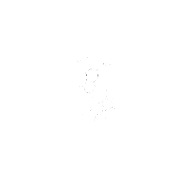 COc1cc2ncnc(Oc3cnn(CC(=O)OC(C)(C)C)c3)c2cc1OC